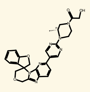 C[C@@H]1CN(C(=O)CO)CCN1c1ncc(-c2ccc3nc4n(c3n2)C2(COC4)COc3ccccc32)cn1